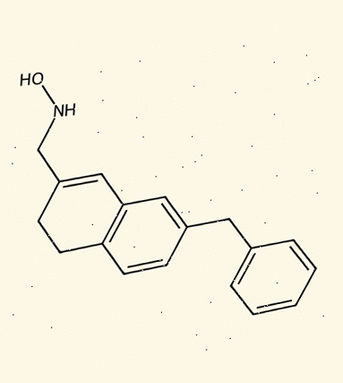 ONCC1=Cc2cc(Cc3ccccc3)ccc2CC1